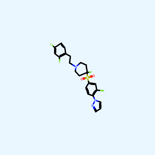 O=S(=O)(c1ccc(-n2cccn2)c(F)c1)C1(F)CCN(CCc2ccc(F)cc2F)CC1